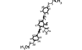 CCCCc1ccc(C#Cc2ccc(C#Cc3ccc(CCCC)cc3)c(C3=CCCC3)c2F)cc1